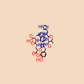 CC(C)[C@H](NC(=O)[C@@H](N)Cc1c[nH]cn1)C(=O)N[C@@H](Cc1ccc(O)cc1)C(=O)N[C@@H](CCC(=O)O)C(=O)N[C@@H](Cc1c[nH]c2ccccc12)C(=O)O